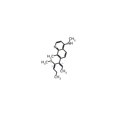 C/C=C(\C(=C/CC)SC)c1ccc2c(NC)ccnc2c1C